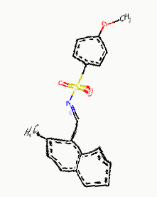 COc1ccc(S(=O)(=O)/N=C/c2c(C)ccc3ccccc23)cc1